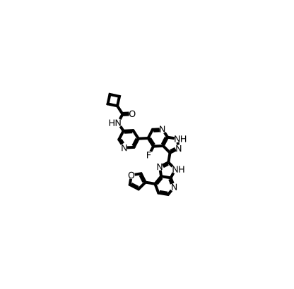 O=C(Nc1cncc(-c2cnc3[nH]nc(-c4nc5c(-c6ccoc6)ccnc5[nH]4)c3c2F)c1)C1CCC1